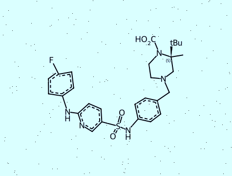 CC(C)(C)[C@@]1(C)CN(Cc2ccc(NS(=O)(=O)c3ccc(Nc4ccc(F)cc4)nc3)cc2)CCN1C(=O)O